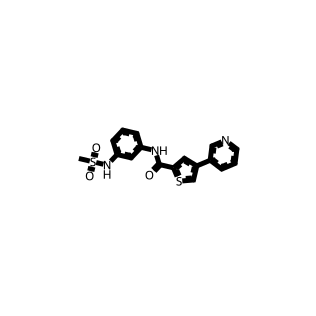 CS(=O)(=O)Nc1cccc(NC(=O)c2cc(-c3cccnc3)cs2)c1